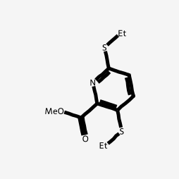 CCSc1ccc(SCC)c(C(=O)OC)n1